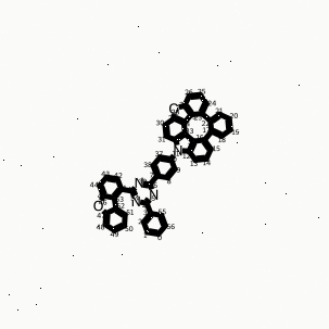 c1ccc(-c2nc(-c3ccc(-n4c5cccc6c7ccccc7c7cccc8oc9ccc4c(c9c87)c65)cc3)nc(-c3cccc4oc5ccccc5c34)n2)cc1